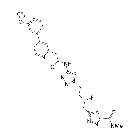 CNC(=O)c1cn(CC(F)CCc2nnc(NC(=O)Cc3cc(-c4cccc(OC(F)(F)F)c4)ccn3)s2)nn1